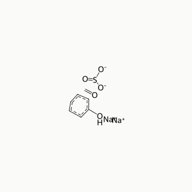 C=O.O=S([O-])[O-].Oc1ccccc1.[Na+].[Na+]